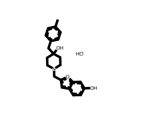 Cc1ccc(CC2(O)CCN(Cc3cc4ccc(O)cc4o3)CC2)cc1.Cl